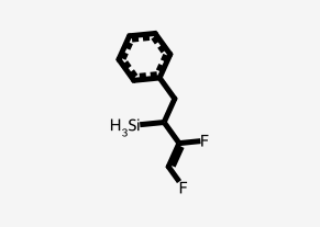 FC=C(F)C([SiH3])Cc1ccccc1